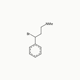 CNCCC(Br)c1ccccc1